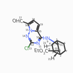 CCOC(=O)[C@H]1C2CCC(CC2)[C@@H]1Nc1nc(Cl)nn2c(C=O)ccc12